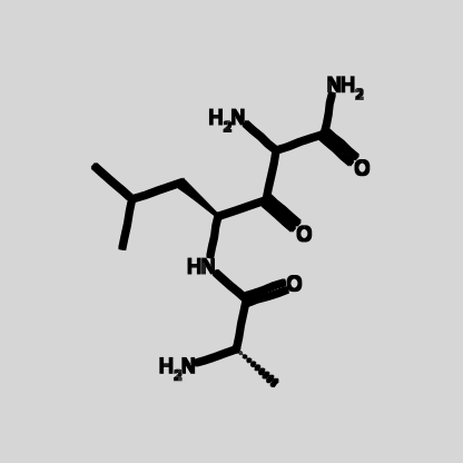 CC(C)C[C@H](NC(=O)[C@H](C)N)C(=O)C(N)C(N)=O